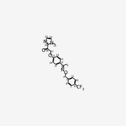 C/C(=N\OCc1ccc(C(F)(F)F)cc1)c1ccc(OCC(=O)c2nccn2C)cc1